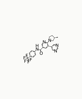 C[C@@H]1CCN(c2ncc(C(=O)Nc3ccc(S(F)(F)(F)(F)F)cc3)cc2-c2cncnc2)C1